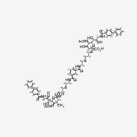 CC(=O)N[C@H]1[C@H]([C@H](O)[C@H](O)CNC(=O)c2ccc(-c3ccccc3)cc2)O[C@@](OCCCSCCNC(=O)c2cccc(C(=O)NCCSCCCO[C@]3(C(=O)O)C[C@H](C)[C@@H](NC(C)=O)C([C@H](O)[C@H](O)CNC(=O)c4ccc(-c5ccccc5)cc4)O3)c2)(C(=O)O)C[C@@H]1O